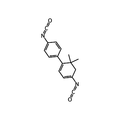 CC1(C)CC(N=C=O)=CC=C1c1ccc(N=C=O)cc1